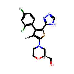 [C-]#[N+]c1c(N2CCO[C@H](CO)C2)sc(-c2nnc[nH]2)c1-c1ccc(Cl)cc1Cl